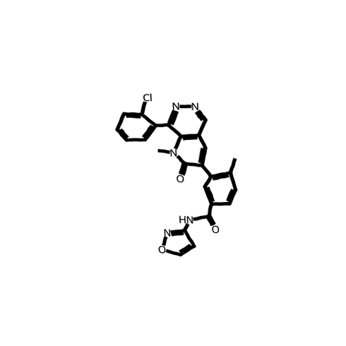 Cc1ccc(C(=O)Nc2ccon2)cc1-c1cc2cnnc(-c3ccccc3Cl)c2n(C)c1=O